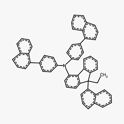 CCC1(c2cccc3ccccc23)c2ccccc2-c2c(N(c3ccc(-c4cccc5ccccc45)cc3)c3ccc(-c4cccc5ccccc45)cc3)cccc21